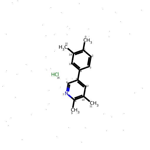 Cc1ccc(-c2cnc(C)c(C)c2)cc1C.Cl